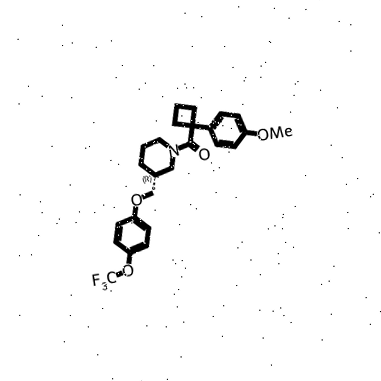 COc1ccc(C2(C(=O)N3CCC[C@@H](COc4ccc(OC(F)(F)F)cc4)C3)CCC2)cc1